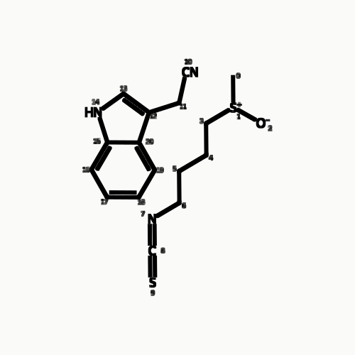 C[S+]([O-])CCCCN=C=S.N#CCc1c[nH]c2ccccc12